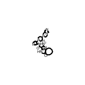 Nc1nn2c(c1C(=O)Nc1cnccc1N1CCC(N3CCn4cncc4C3)CC1)NCC(Cl)C21CCCCCCCCC1